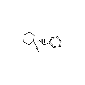 N#CC1(NCc2ccccc2)CCCCC1